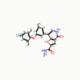 CCNC(=O)c1cc2c(=O)n(C)cc(-c3cc(C)cc(Oc4c(C)cc(Cl)cc4C)c3)c2s1